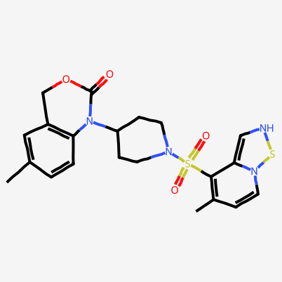 CC1=C(S(=O)(=O)N2CCC(N3C(=O)OCc4cc(C)ccc43)CC2)C2=CNSN2C=C1